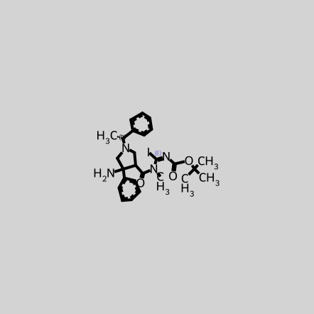 C[C@H](c1ccccc1)N1CC(C(=O)N(C)/C(I)=N\C(=O)OC(C)(C)C)C(N)(c2ccccc2)C1